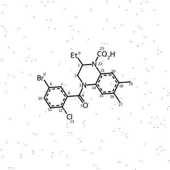 CCC1CN(C(=O)c2cc(Br)ccc2Cl)c2cc(C)c(C)cc2N1C(=O)O